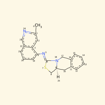 Cc1cc2c(N=C3SC[C@@H]4Cc5ccccc5CN34)cccc2cn1